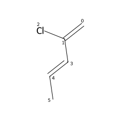 C=C(Cl)/C=C/C